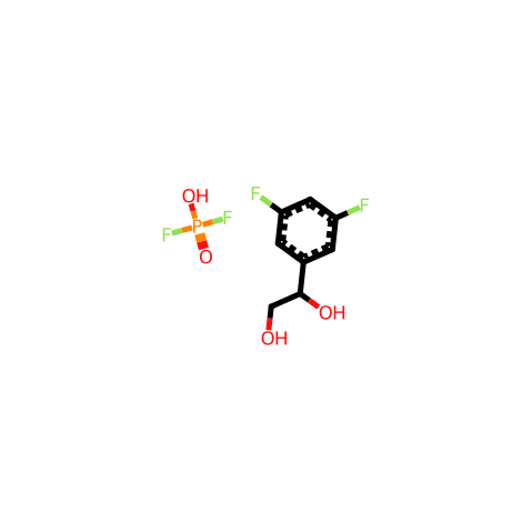 O=P(O)(F)F.OCC(O)c1cc(F)cc(F)c1